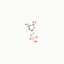 O=P(O)(O)OC[C@H]1OC(O)[C@@H](O)C1F